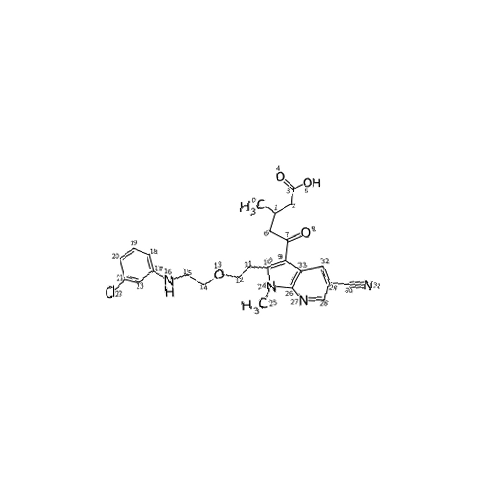 CC(CC(=O)O)CC(=O)c1c(CCOCCNc2cccc(Cl)c2)n(C)c2ncc(C#N)cc12